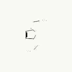 COC[C@H]1C=C[C@@H](COC)O1